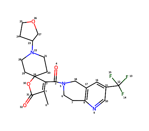 CC1=C(C(=O)N2CCc3ncc(C(F)(F)F)cc3C2)C2(CCN(C3CCOC3)CC2)OC1=O